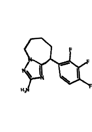 Nc1nc2n(n1)CCCCC2c1ccc(F)c(F)c1F